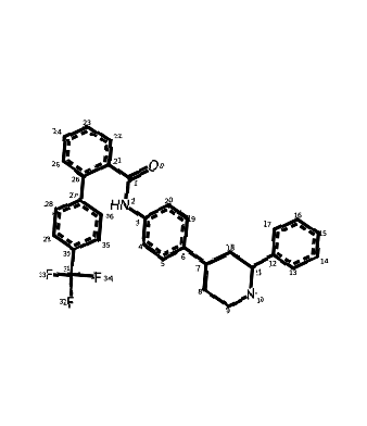 O=C(Nc1ccc(C2CC[N]C(c3ccccc3)C2)cc1)c1ccccc1-c1ccc(C(F)(F)F)cc1